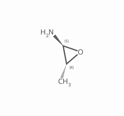 C[C@H]1O[C@@H]1N